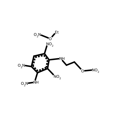 CCO[N+](=O)[O-].O=[N+]([O-])Nc1c([N+](=O)[O-])cc([N+](=O)[O-])c(NCCO[N+](=O)[O-])c1[N+](=O)[O-]